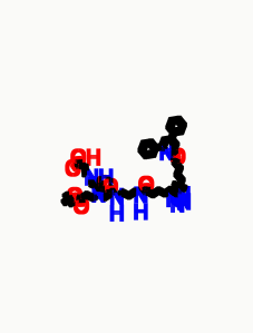 CC(C)(C)OC(=O)CCN(CC(=O)NCCCNC(=O)CCCCC1(C(C)(C)CCCCOc2cc(-c3ccccc3)cc(-c3ccccc3)n2)N=NN=N1)C(=O)CNCCC(=O)O